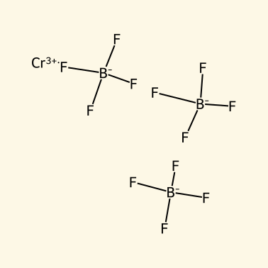 F[B-](F)(F)F.F[B-](F)(F)F.F[B-](F)(F)F.[Cr+3]